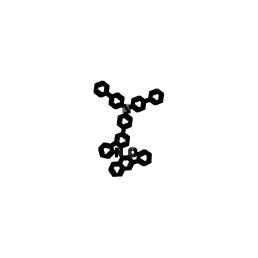 c1ccc(-c2ccc(N(c3ccc(-c4ccccc4)cc3)c3ccc(-c4ccc5c(c4)c4ccccc4n5-c4c5ccccc5cc5c4oc4ccccc45)cc3)cc2)cc1